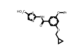 CC(C)Oc1cc(OCC2CC2)cc(C(=O)Nc2ncc(C(=O)O)s2)c1